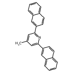 Cc1cc(-c2ccc3ccccc3c2)nc(-c2ccc3ccccc3c2)c1